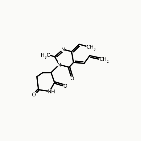 C=C/C=c1/c(=O)n(C2CCC(=O)NC2=O)c(C)n/c1=C/C